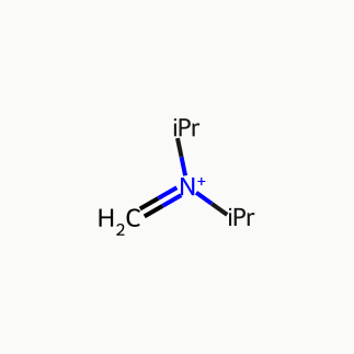 C=[N+](C(C)C)C(C)C